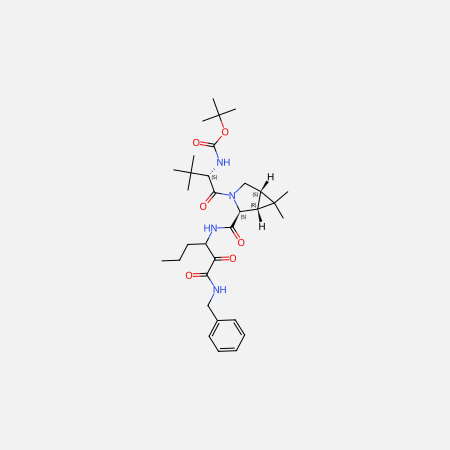 CCCC(NC(=O)[C@@H]1[C@@H]2[C@H](CN1C(=O)[C@@H](NC(=O)OC(C)(C)C)C(C)(C)C)C2(C)C)C(=O)C(=O)NCc1ccccc1